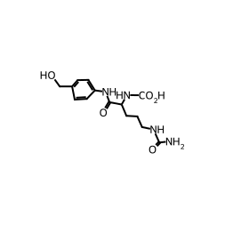 NC(=O)NCCCC(NC(=O)O)C(=O)Nc1ccc(CO)cc1